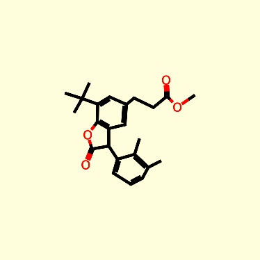 COC(=O)CCc1cc2c(c(C(C)(C)C)c1)OC(=O)C2c1cccc(C)c1C